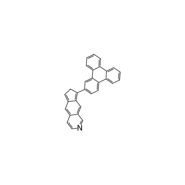 C1=c2cc3ccncc3cc2=C(c2ccc3c4ccccc4c4ccccc4c3c2)C1